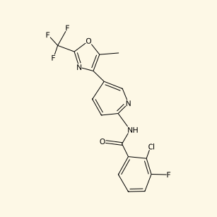 Cc1oc(C(F)(F)F)nc1-c1ccc(NC(=O)c2cccc(F)c2Cl)nc1